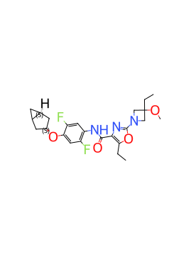 CCc1oc(N2CC(CC)(OC)C2)nc1C(=O)Nc1cc(F)c(O[C@H]2CC3C[C@H]3C2)cc1F